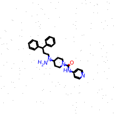 NN(CCC(c1ccccc1)c1ccccc1)C1CCN(C(=O)Nc2ccncc2)CC1